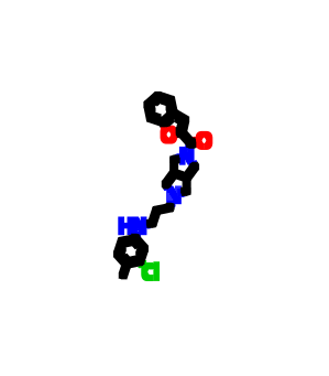 Cc1ccc(NCCCN2CC3CN(C(=O)c4cc5ccccc5o4)CC3C2)cc1Cl